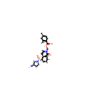 Cc1ccc(C(=O)OCn2ccc3c([S+]([O-])N4CC[C@@H](N)C4)cccc3c2=O)c(C)c1